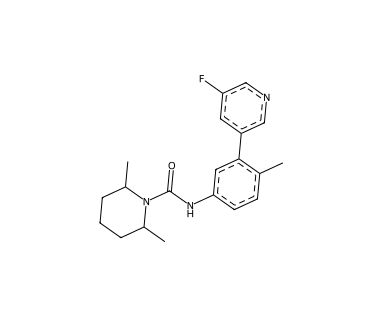 Cc1ccc(NC(=O)N2C(C)CCCC2C)cc1-c1cncc(F)c1